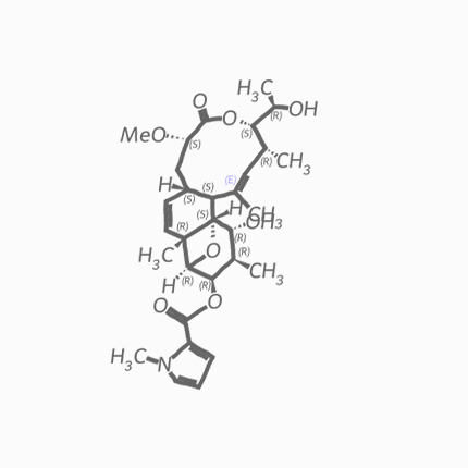 CO[C@H]1C[C@H]2C=C[C@]3(C)[C@H]4[C@H](O)[C@@H](C)[C@@H](OC(=O)c5cccn5C)[C@@H]3O[C@@]24/C(C)=C/[C@@H](C)[C@@H]([C@@H](C)O)OC1=O